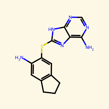 Nc1cc2c(cc1Sc1nc3c(N)ncnc3[nH]1)CCC2